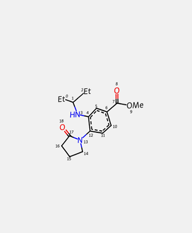 CCC(CC)Nc1cc(C(=O)OC)ccc1N1CCCC1=O